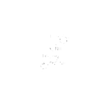 Cc1ccc(-c2nc(N)nc(C(=O)NCc3ccccc3C(F)(F)F)c2Br)o1